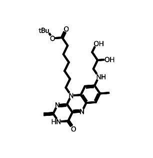 C=c1nc2c(c(=O)[nH]1)=Nc1cc(C)c(NCC(O)CO)cc1N2CCCCCCC(=O)OC(C)(C)C